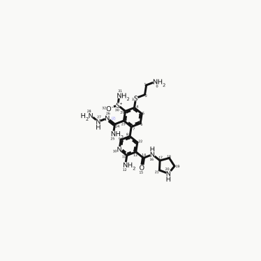 NCCSc1ccc(-c2cnc(N)c(C(=O)NC3CCNC3)c2)c(/C(N)=N/NN)c1[S+](N)[O-]